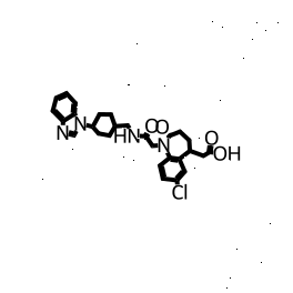 O=C(O)CC1CCC(=O)N(CC(=O)NCC2CCC(n3cnc4ccccc43)CC2)c2ccc(Cl)cc21